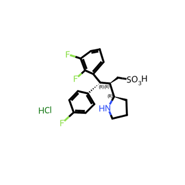 Cl.O=S(=O)(O)C[C@H]([C@H](c1ccc(F)cc1)c1cccc(F)c1F)[C@H]1CCCN1